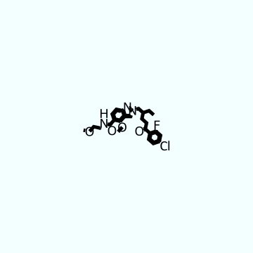 CCC(CCC(=O)c1ccc(Cl)cc1F)Cn1cc2c(OC)c(C(=O)NCCOC)ccc2n1